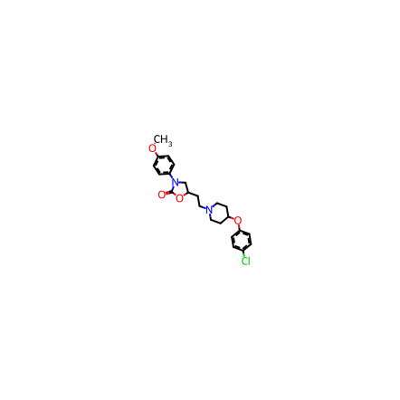 COc1ccc(N2CC(CCN3CCC(Oc4ccc(Cl)cc4)CC3)OC2=O)cc1